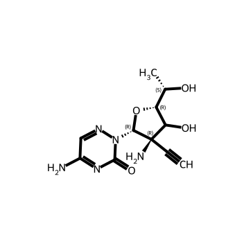 C#C[C@@]1(N)C(O)[C@@H]([C@H](C)O)O[C@H]1n1ncc(N)nc1=O